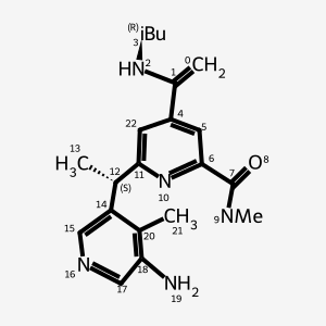 C=C(N[C@H](C)CC)c1cc(C(=O)NC)nc([C@@H](C)c2cncc(N)c2C)c1